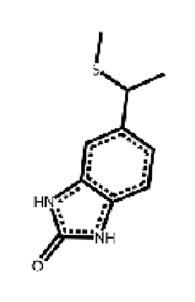 CSC(C)c1ccc2[nH]c(=O)[nH]c2c1